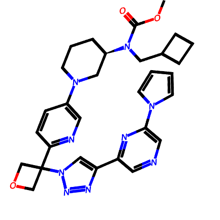 CC(C)(C)OC(=O)N(CC1CCC1)[C@@H]1CCCN(c2ccc(C3(n4cc(-c5cncc(-n6cccc6)n5)nn4)COC3)nc2)C1